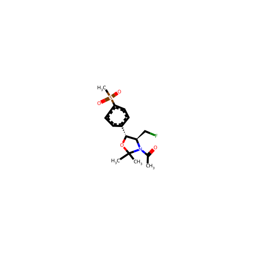 CC(=O)N1[C@H](CF)[C@@H](c2ccc(S(C)(=O)=O)cc2)OC1(C)C